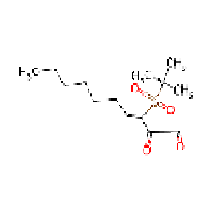 CCCCCCCC(C(=O)C=O)S(=O)(=O)C(C)(C)C